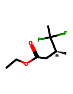 CCOC(=O)C[C@@H](C)C(C)(F)F